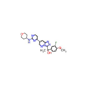 COc1ccc([C@@](C)(O)c2nnc3cc(-c4ccnc(NC5CCOCC5)n4)cnn23)cc1F